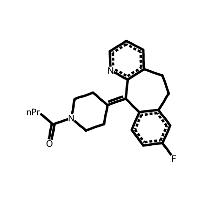 CCCC(=O)N1CCC(=C2c3ccc(F)cc3CCc3cccnc32)CC1